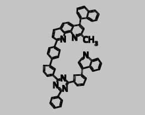 Cc1cc(-c2cccc3ccccc23)c2ccc3ccc(-c4ccc(-c5cccc(-c6nc(-c7ccccc7)nc(-c7cccc(-c8ccnc9ccccc89)c7)n6)c5)cc4)nc3c2n1